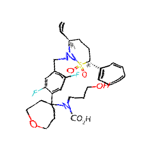 C=C[C@H]1CC[C@H](c2ccccc2)S(=O)(=O)N1Cc1cc(F)c(C2(N(CCCO)C(=O)O)CCOCC2)cc1F